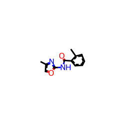 Cc1coc(NC(=O)c2ccccc2C)n1